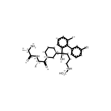 CCc1cccc(-c2c(F)cccc2[C@](O)(CCCNC(=O)O)[C@@H]2CCCN(C(=O)[C@H](C)NC(=O)[C@H](C)N)C2)c1